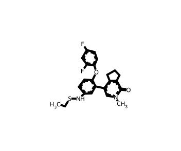 CCSNc1ccc(Oc2ccc(F)cc2F)c(-c2cn(C)c(=O)c3c2CCC3)c1